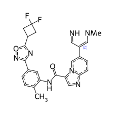 CN/C=C(\C=N)c1ccc2ncc(C(=O)Nc3cc(-c4noc(C5CC(F)(F)C5)n4)ccc3C)n2c1